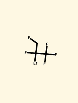 CCC(F)(CF)C(F)(F)F